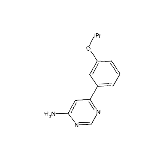 CC(C)Oc1cccc(-c2cc(N)ncn2)c1